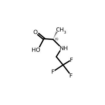 C[C@H](NCC(F)(F)F)C(=O)O